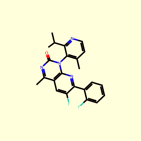 Cc1ccnc(C(C)C)c1-n1c(=O)nc(C)c2cc(F)c(-c3ccccc3F)nc21